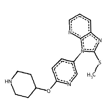 CSc1nc2cccnc2n1-c1ccc(OC2CCNCC2)nc1